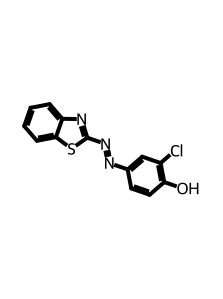 Oc1ccc(/N=N/c2nc3ccccc3s2)cc1Cl